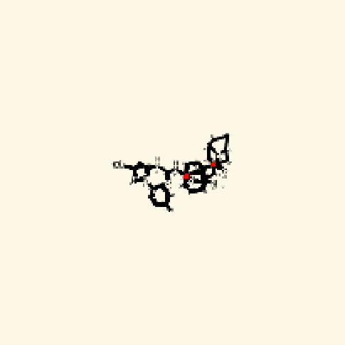 Cc1ccc(-n2nc(C(C)(C)C)cc2NC(=O)Nc2cccc(CC3CC4CCC(C3)N4C(=O)c3cccnc3N)c2)cc1